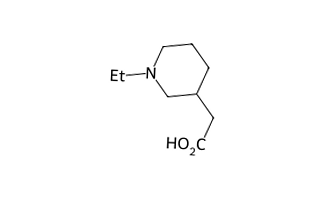 CCN1CCCC(CC(=O)O)C1